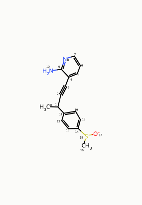 CC(C#Cc1cccnc1N)c1ccc([S+](C)[O-])cc1